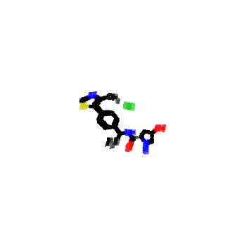 Cc1ncsc1-c1ccc([C@H](C)NC(=O)[C@@H]2CC(O)CN2)cc1.Cl